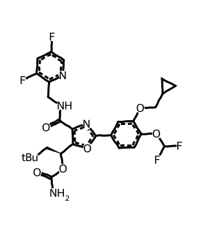 CC(C)(C)C[C@H](OC(N)=O)c1oc(-c2ccc(OC(F)F)c(OCC3CC3)c2)nc1C(=O)NCc1ncc(F)cc1F